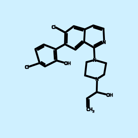 C=CC(O)N1CCN(c2nccc3cc(Cl)c(-c4ccc(Cl)cc4O)cc23)CC1